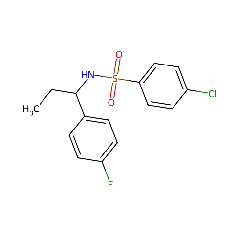 CCC(NS(=O)(=O)c1ccc(Cl)cc1)c1ccc(F)cc1